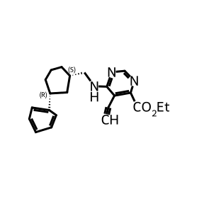 C#Cc1c(NC[C@H]2CCC[C@@H](c3ccccc3)C2)ncnc1C(=O)OCC